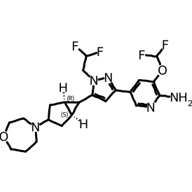 Nc1ncc(-c2cc(C3[C@H]4CC(N5CCCOCC5)C[C@@H]34)n(CC(F)F)n2)cc1OC(F)F